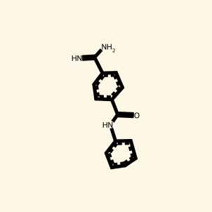 N=C(N)c1ccc(C(=O)Nc2ccccc2)cc1